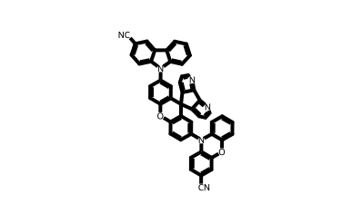 N#Cc1ccc2c(c1)Oc1ccccc1N2c1ccc2c(c1)C1(c3cc(-n4c5ccccc5c5cc(C#N)ccc54)ccc3O2)c2cccnc2-c2ncccc21